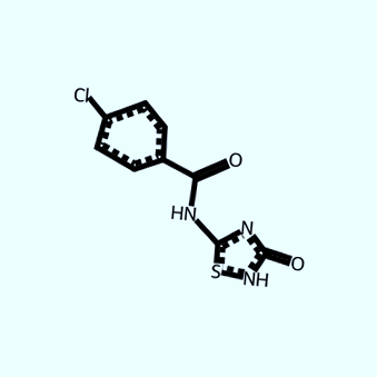 O=C(Nc1nc(=O)[nH]s1)c1ccc(Cl)cc1